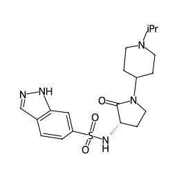 CC(C)N1CCC(N2CC[C@H](NS(=O)(=O)c3ccc4cn[nH]c4c3)C2=O)CC1